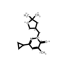 Cc1cc(C2CC2)nn(CC2COC(C)(C)C2)c1=O